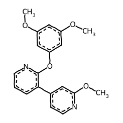 COc1cc(OC)cc(Oc2ncccc2-c2ccnc(OC)c2)c1